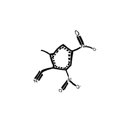 Cc1cc([N+](=O)[O-])cc([N+](=O)[O-])c1C#N